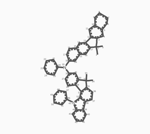 CC1(C)c2cc3ccccc3cc2-c2cc3ccc(N(c4ccccc4)c4ccc5c(c4)C(C)(C)c4ccc6c7ccccc7n(-c7ccccc7)c6c4-5)cc3cc21